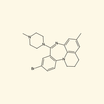 Cc1cc2c3c(c1)N=C(N1CCN(C)CC1)c1cc(Br)ccc1N3CCC2